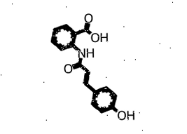 O=C(C=Cc1ccc(O)cc1)Nc1ccccc1C(=O)O